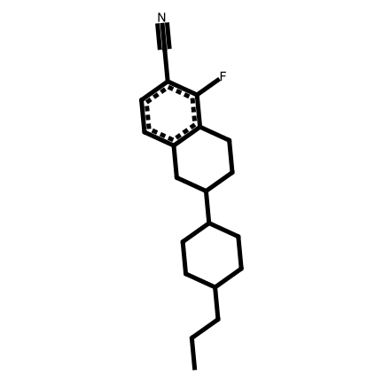 CCCC1CCC(C2CCc3c(ccc(C#N)c3F)C2)CC1